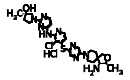 C[C@@H]1OCC2(CCN(c3cnc(Sc4ccnc(Nc5ccnc(N6CC[C@@](C)(O)C6)n5)c4Cl)cn3)CC2)[C@@H]1N.Cl